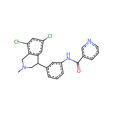 CN1Cc2c(Cl)cc(Cl)cc2C(c2cccc(NC(=O)c3cccnc3)c2)C1